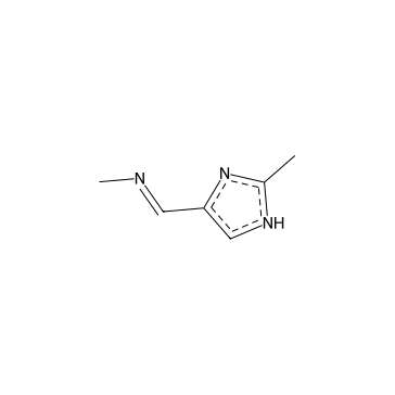 C/N=C/c1c[nH]c(C)n1